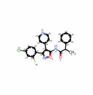 CC(C(=O)Nc1onc(-c2ccc(Cl)cc2F)c1-c1ccncc1)c1ccccc1